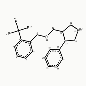 FC(F)(F)c1ccccc1COCC1CNCC1c1ccccc1